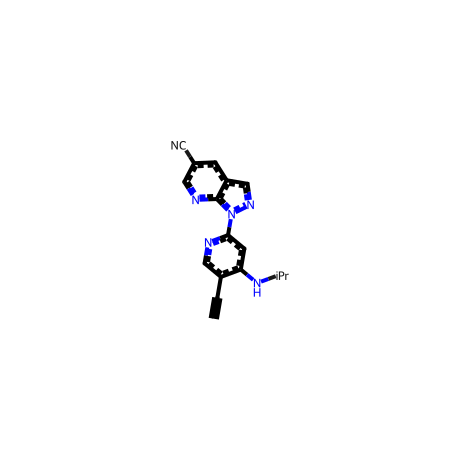 C#Cc1cnc(-n2ncc3cc(C#N)cnc32)cc1NC(C)C